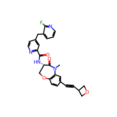 CN1C(=O)[C@@H](NC(=O)c2cc(Cc3cccnc3F)ccn2)COc2ccc(C#CC3COC3)cc21